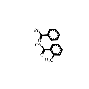 CC(C)C(=O)c1ccccc1.CCCC(=O)c1ccccc1C